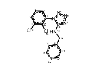 Clc1cccc(-n2nnnc2NCc2ccncc2)c1Cl